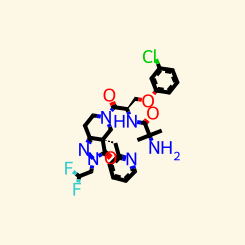 CC(C)(N)C(=O)N[C@H](COc1cccc(Cl)c1)C(=O)N1CCC2=NN(CC(F)F)C(=O)[C@]2(Cc2ccccn2)C1